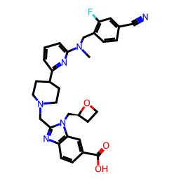 CN(Cc1ccc(C#N)cc1F)c1cccc(C2CCN(Cc3nc4ccc(C(=O)O)cc4n3C[C@@H]3CCO3)CC2)n1